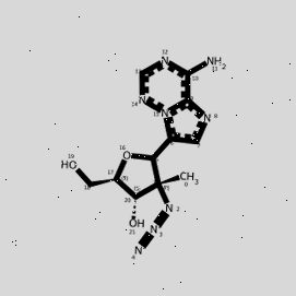 C[C@]1(N=[N+]=[N-])C(c2cnc3c(N)ncnn23)O[C@H](CO)[C@H]1O